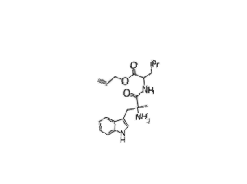 C=CCOC(=O)C(CC(C)C)NC(=O)C(C)(N)Cc1c[nH]c2ccccc12